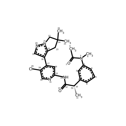 CC(=O)N(C)c1cccc([C@H](C)C(=O)Nc2cc(-c3cnn4c3CC(C)(C)C4)c(Cl)cn2)c1